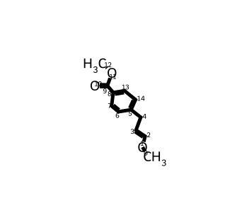 CO/C=C/Cc1ccc(C(=O)OC)cc1